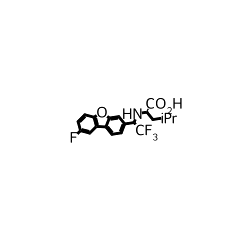 CC(C)C[C@H](NC(c1ccc2c(c1)oc1ccc(F)cc12)C(F)(F)F)C(=O)O